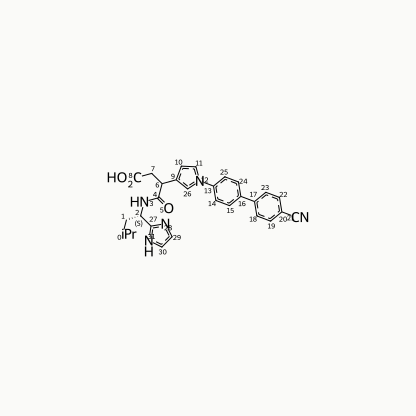 CC(C)C[C@H](NC(=O)C(CC(=O)O)c1ccn(-c2ccc(-c3ccc(C#N)cc3)cc2)c1)c1ncc[nH]1